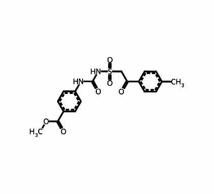 COC(=O)c1ccc(NC(=O)NS(=O)(=O)CC(=O)c2ccc(C)cc2)cc1